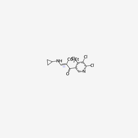 CCOC(=O)/C(=C\NC1CC1)C(=O)c1cnc(Cl)c(Cl)c1Cl